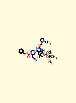 CN1CCCC1COc1nc2c(c(N3CCN(C(=O)OCc4ccccc4)C(CC#N)C3)n1)C[C@@H]1C[C@H]2N(C(=O)OC(C)(C)C)C1